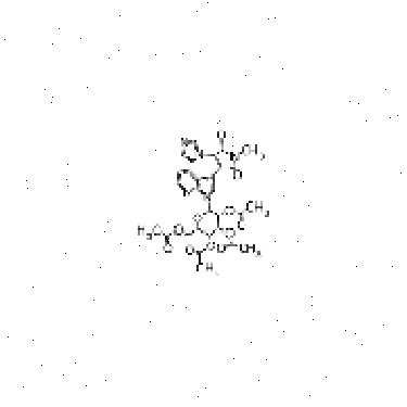 CC(=O)OC[C@H]1O[C@@H](n2cc(C3=C(n4ccnc4)C(=O)N(C)C3=O)c3cccnc32)[C@H](OC(C)=O)[C@@H](OC(C)=O)[C@@H]1OC(C)=O